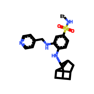 CCNS(=O)(=O)c1ccc(NC2C3CC4CC5CC2C45C3)c(NCc2ccncc2)c1